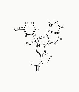 CNC1CCc2c1cn(S(=O)(=O)c1cccc(Cl)c1)c2-c1ccc2c(c1)OCO2